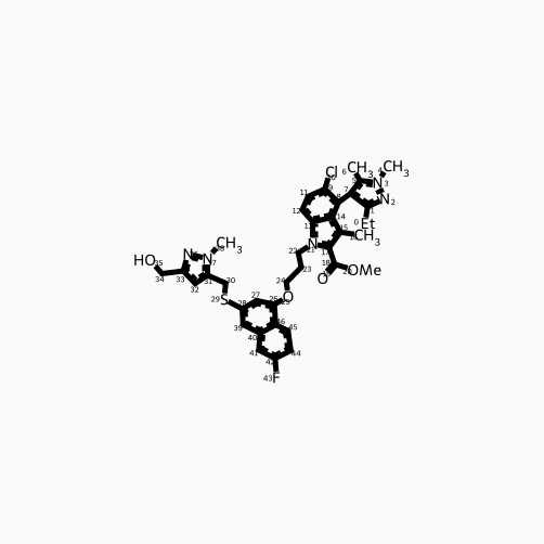 CCc1nn(C)c(C)c1-c1c(Cl)ccc2c1c(C)c(C(=O)OC)n2CCCOc1cc(SCc2cc(CO)nn2C)cc2cc(F)ccc12